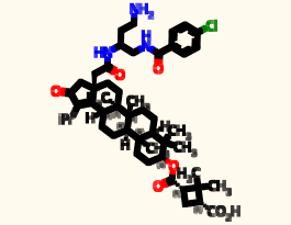 CC(C)C1=C2[C@H]3CC[C@@H]4[C@@]5(C)CC[C@H](OC(=O)[C@H]6C[C@@H](C(=O)O)C6(C)C)C(C)(C)[C@@H]5CC[C@@]4(C)[C@]3(C)CC[C@@]2(CC(=O)NC(CCN)CNC(=O)c2ccc(Cl)cc2)CC1=O